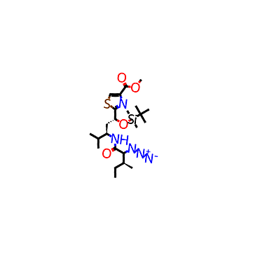 CC[C@H](C)C(N=[N+]=[N-])C(=O)N[C@H](C[C@@H](O[Si](C)(C)C(C)(C)C)c1nc(C(=O)OC)cs1)C(C)C